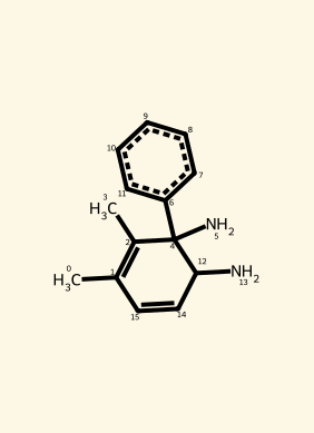 CC1=C(C)C(N)(c2ccccc2)C(N)C=C1